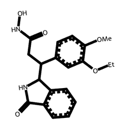 CCOc1cc(C(CC(=O)NO)C2NC(=O)c3ccccc32)ccc1OC